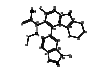 C=C(O)[C@@H](OCC)c1c(C)nc2sc3c(c2c1-c1ccc2cnn(C)c2c1)CCCC3